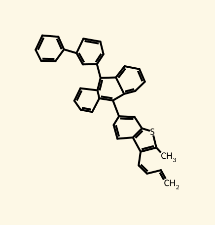 C=C/C=C\c1c(C)sc2cc(-c3c4ccccc4c(-c4cccc(-c5ccccc5)c4)c4ccccc34)ccc12